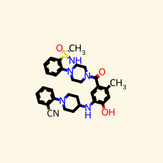 Cc1cc(O)c(NC2CCN(c3ccccc3C#N)CC2)cc1C(=O)N1CCN(c2ccccc2S(C)(=N)=O)CC1